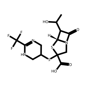 CC(O)C1C(=O)N2CC(SC3CN=C(C(F)(F)F)NC3)(C(=O)O)S[C@H]12